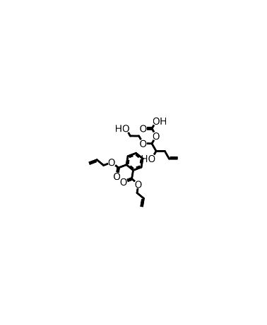 C=CCC(O)C(OCCO)OC(=O)O.C=CCOC(=O)c1ccccc1C(=O)OCC=C